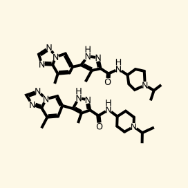 Cc1c(C(=O)NC2CCN(C(C)C)CC2)n[nH]c1-c1cc(C)c2ncnn2c1.Cc1c(C(=O)NC2CCN(C(C)C)CC2)n[nH]c1-c1cc(C)c2ncnn2c1